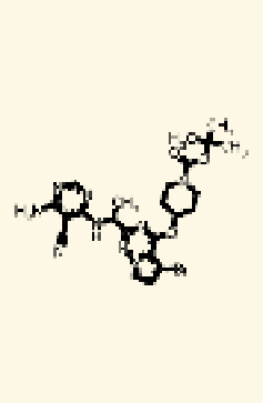 CC(Nc1ncnc(N)c1C#N)c1nc(OC2CCN(C(=O)OC(C)(C)C)CC2)c2c(Br)ccn2n1